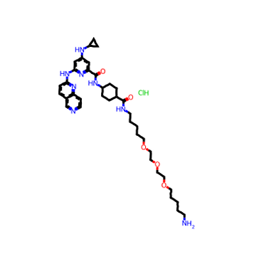 Cl.NCCCCCOCCOCCOCCCCCNC(=O)C1CCC(NC(=O)c2cc(NC3CC3)cc(Nc3ccc4cnccc4n3)n2)CC1